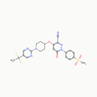 CC(F)(F)c1cnc(N2CCC(Oc3cc(=O)n(-c4ccc(S(C)(=O)=O)cc4)nc3C#N)CC2)nc1